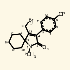 CN1C(=O)C(c2ccc(Cl)cc2)=C(CBr)C12CCCCC2